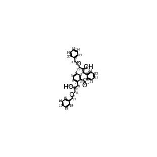 [O-][S+](c1ccccc1C[C@H](O)COCc1ccccc1)c1ccccc1C[C@H](O)COCc1ccccc1